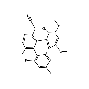 COc1cc(OC)c(Cl)c(-c2c(CC#N)cnc(C)c2-c2c(F)cc(F)cc2F)c1